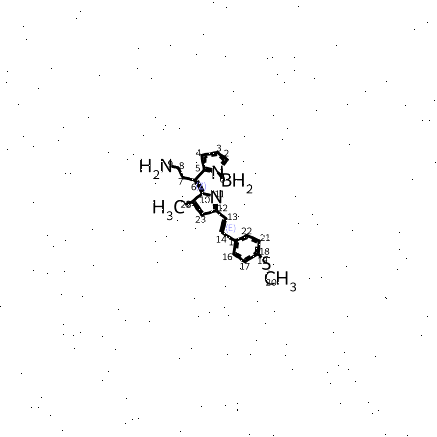 Bn1cccc1/C(CCN)=C1N=C(/C=C/c2ccc(SC)cc2)C=C\1C